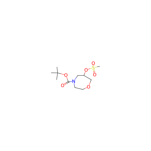 CC(C)(C)OC(=O)N1CCOCC(OS(C)(=O)=O)C1